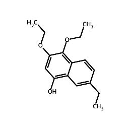 CCOc1cc(O)c2cc(CC)ccc2c1OCC